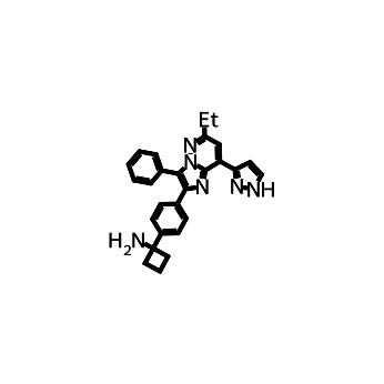 CCc1cc(-c2cc[nH]n2)c2nc(-c3ccc(C4(N)CCC4)cc3)c(-c3ccccc3)n2n1